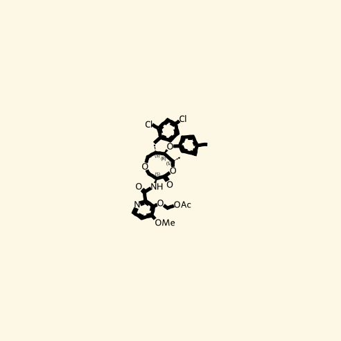 COc1ccnc(C(=O)N[C@H]2COC[C@H](Cc3ccc(Cl)cc3Cl)[C@@H](Oc3ccc(C)cc3)[C@H](C)OC2=O)c1OCOC(C)=O